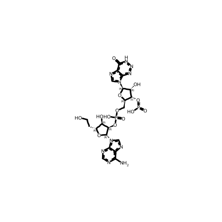 Nc1ncnc2c1ncn2[C@@H]1O[C@H](CCO)[C@@H](O)[C@H]1OP(=O)(O)OC[C@H]1O[C@@H](n2cnc3c(=O)[nH]nnc32)[C@H](O)[C@@H]1O[PH](=O)O